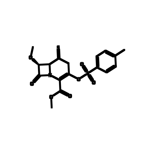 COC(=O)C1=C(OS(=O)(=O)c2ccc(C)cc2)CC(=S)C2[C@H](OC)C(=O)N12